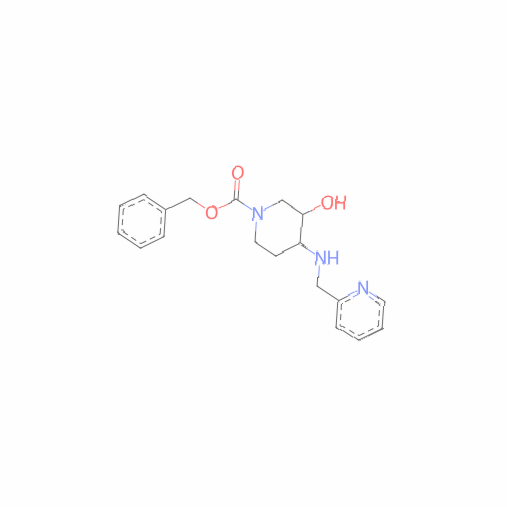 O=C(OCc1ccccc1)N1CCC(NCc2ccccn2)C(O)C1